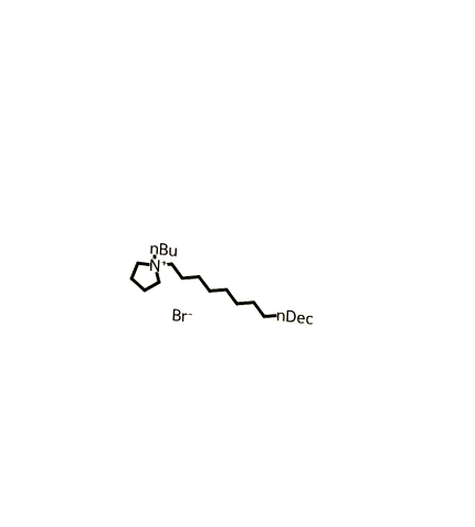 CCCCCCCCCCCCCCCCCC[N+]1(CCCC)CCCC1.[Br-]